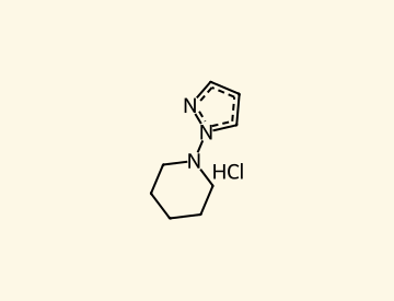 Cl.c1cnn(N2CCCCC2)c1